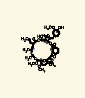 C=CCC1/C=C(\C)C[C@H](C)C[C@H](OC)[C@H]2O[C@@](O)(C(=O)C(=O)N3CCCC[C@H]3C(=O)O[C@H](/C(C)=C/[C@@H]3CC[C@@H](O)[C@H](OC)C3)[C@H](C)[C@@H](O)CC1=O)[C@H](C)C[C@@H]2OC